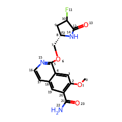 COc1cc2c(OC[C@@H]3CC(F)C(=O)N3)nccc2cc1C(N)=O